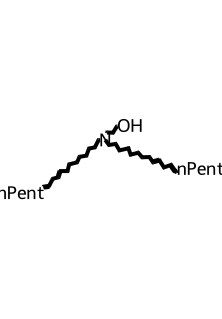 CCCCCC=CCC=CCCCCCCCCN(CCCO)CCCCCCCCC=CCC=CCCCCC